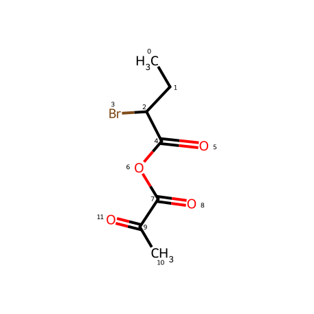 CCC(Br)C(=O)OC(=O)C(C)=O